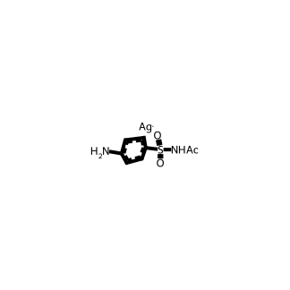 CC(=O)NS(=O)(=O)c1ccc(N)cc1.[Ag]